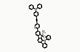 CC1(C)c2cc(-c3ccc(C#Cc4ccc(N(c5ccccc5)c5ccccc5)cc4)cn3)ccc2-c2ccc3c4ccccc4n(-c4ccccc4)c3c21